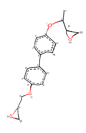 CC(Oc1ccc(-c2ccc(OCC3CO3)cc2)cc1)C1CO1